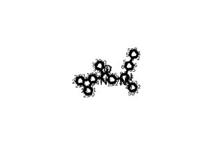 c1ccc(-c2ccc(-c3cc(-c4ccc5nc(-c6ccc7c8ccccc8c8ccccc8c7c6)c6c7ccccc7oc6c5c4)nc(-c4ccccc4)n3)cc2)cc1